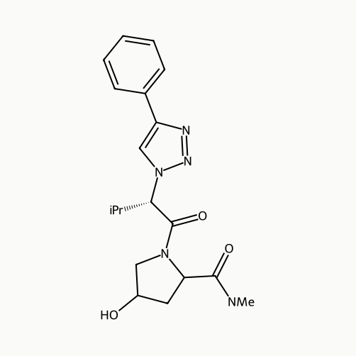 CNC(=O)C1CC(O)CN1C(=O)[C@H](C(C)C)n1cc(-c2ccccc2)nn1